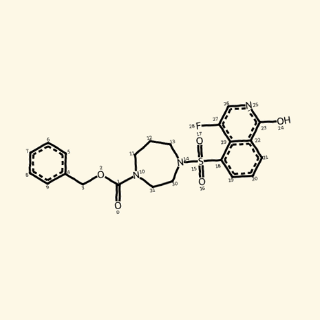 O=C(OCc1ccccc1)N1CCCN(S(=O)(=O)c2cccc3c(O)ncc(F)c23)CC1